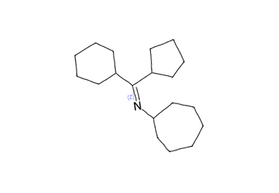 C1CCCC(/N=C(/C2CCCCC2)C2CCCC2)CC1